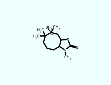 B[C@@]1(C)CC2SC(=S)N(C)C2CCCC1(C)C